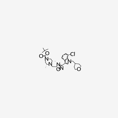 C[C@@H]1CN(C(=O)OC(C)(C)C)C[C@H](C)N1Cc1nc(-c2cn(CC3CCOCC3)c3c(Cl)cccc23)no1